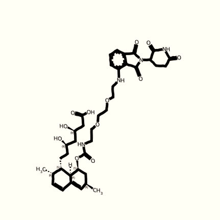 C[C@H]1C=C2C=C[C@H](C)[C@H](CC[C@@H](O)C[C@@H](O)CC(=O)O)[C@H]2[C@@H](OC(=O)NCCOCCOCCNc2cccc3c2C(=O)N(C2CCC(=O)NC2=O)C3=O)C1